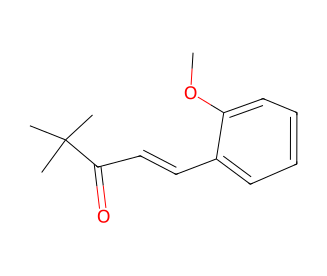 COc1ccccc1/C=C/C(=O)C(C)(C)C